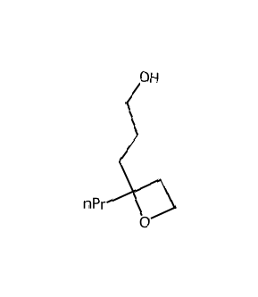 CCCC1(CCCO)CCO1